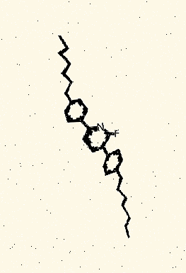 CCCCCCCc1ccc(-c2ccc(-c3ccc(CCCCCCC)cc3)c(F)n2)cc1